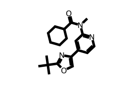 CN(C(=O)C1CCCCC1)c1cc(-c2coc(C(C)(C)C)n2)ccn1